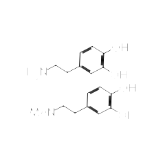 CNCCc1ccc(O)c(O)c1.NCCc1ccc(O)c(O)c1